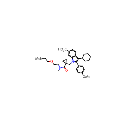 CNCCOCCN(C)C(=O)C1(Cn2c(-c3ccc(OC)cc3)c(C3CCCCC3)c3ccc(C(=O)O)cc32)CC1